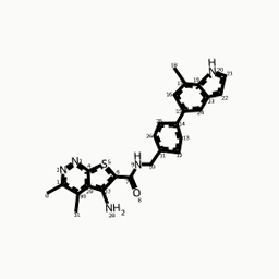 Cc1nnc2sc(C(=O)NCc3ccc(-c4cc(C)c5[nH]ccc5c4)cc3)c(N)c2c1C